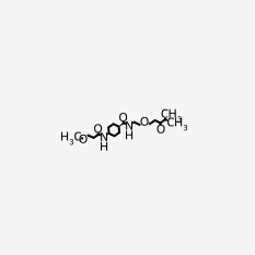 COCCC(=O)N[C@H]1CC[C@@H](C(=O)NCCOCCC(=O)C(C)C)CC1